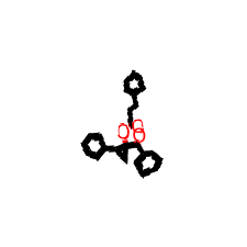 O=C(CCc1ccccc1)OC1(C(=O)c2ccccc2)CC1c1ccccc1